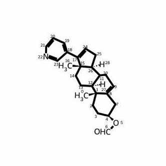 C[C@]12CC[C@H](OC=O)CC1=CCC1[C@@H]2CC[C@]2(C)C(c3cccnc3)=CC[C@@H]12